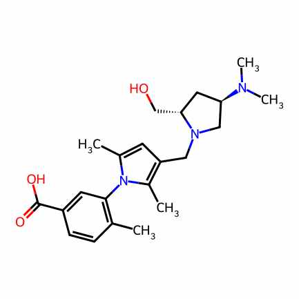 Cc1ccc(C(=O)O)cc1-n1c(C)cc(CN2C[C@H](N(C)C)C[C@H]2CO)c1C